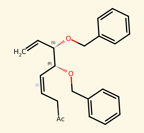 C=C[C@H](OCc1ccccc1)[C@@H](/C=C\CC(C)=O)OCc1ccccc1